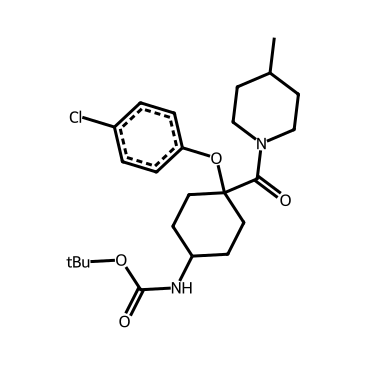 CC1CCN(C(=O)C2(Oc3ccc(Cl)cc3)CCC(NC(=O)OC(C)(C)C)CC2)CC1